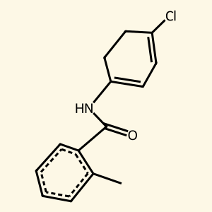 Cc1ccccc1C(=O)NC1=CC=C(Cl)CC1